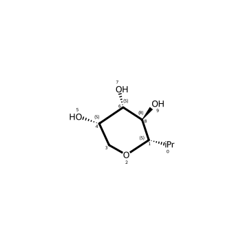 CC(C)[C@@H]1OC[C@H](O)[C@H](O)[C@H]1O